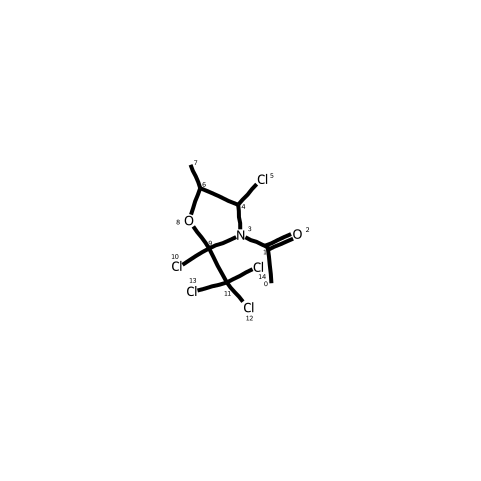 CC(=O)N1C(Cl)C(C)OC1(Cl)C(Cl)(Cl)Cl